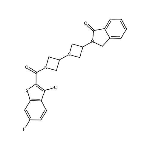 O=C(c1sc2cc(F)ccc2c1Cl)N1CC(N2CC(N3Cc4ccccc4C3=O)C2)C1